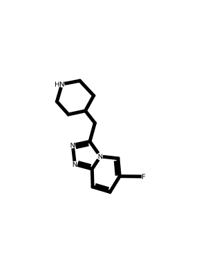 Fc1ccc2nnc(CC3CCNCC3)n2c1